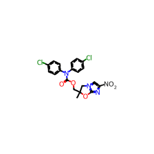 CC1(COC(=O)N(c2ccc(Cl)cc2)c2ccc(Cl)cc2)Cn2cc([N+](=O)[O-])nc2O1